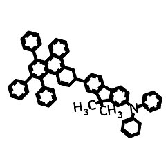 CC1(C)c2cc(C3C=Cc4c(c5ccccc5c5c(-c6ccccc6)cc(-c6ccccc6)c(-c6ccccc6)c45)C3)ccc2-c2ccc(N(C3=CC=CCC3)c3ccccc3)cc21